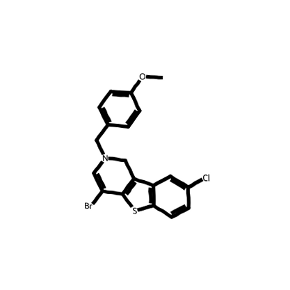 COc1ccc(CN2C=C(Br)c3sc4ccc(Cl)cc4c3C2)cc1